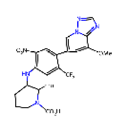 COc1cc(-c2cc([N+](=O)[O-])c(NC3CCCN(C(=O)O)C3C(C)(C)C)cc2C(F)(F)F)cn2ncnc12